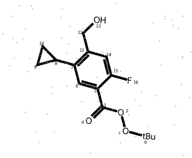 CC(C)(C)OOC(=O)c1cc(C2CC2)c(CO)cc1F